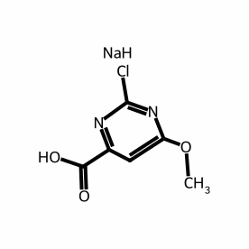 COc1cc(C(=O)O)nc(Cl)n1.[NaH]